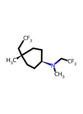 CN(CC(F)(F)F)[C@H]1CC[C@](C)(CC(F)(F)F)CC1